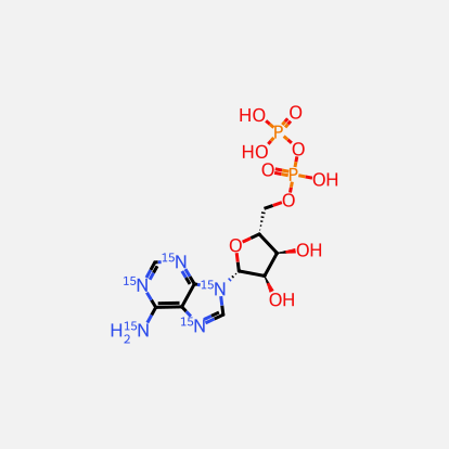 [15NH2]c1[15n]c[15n]c2c1[15n]c[15n]2[C@@H]1O[C@H](COP(=O)(O)OP(=O)(O)O)[C@@H](O)[C@H]1O